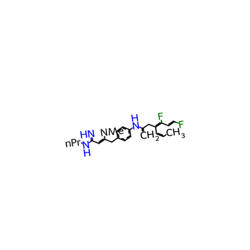 C=C(CC(/C=C\C)=C(F)/C=C/F)Nc1ccc(C/C(=C/C(=N)NCCC)NC)cc1